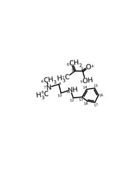 C=C(C)C(=O)O.CN(C)CCNCc1ccccc1